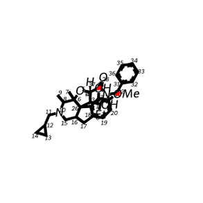 CCC1(O)C2[C@H](OC3(C)C(C)N(CC4CC4)CC4Cc5ccc(OC)c(O)c5C423)C(=O)N1Cc1ccccc1